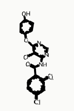 O=C(Nc1ncnc(Oc2ccc(O)cc2)c1Cl)c1ccc(Cl)cc1Cl